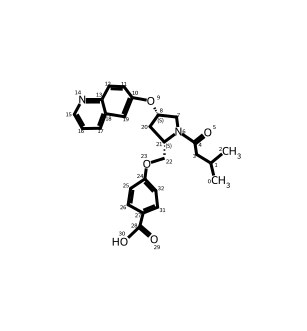 CC(C)CC(=O)N1C[C@@H](Oc2ccc3ncccc3c2)C[C@H]1COc1ccc(C(=O)O)cc1